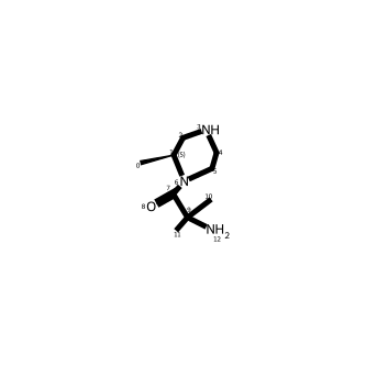 C[C@H]1CNCCN1C(=O)C(C)(C)N